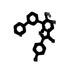 Cc1[nH]cc2c(=O)n(-c3ccc(Cl)cc3)nc-2c1-c1cccc(-c2cccnc2)c1